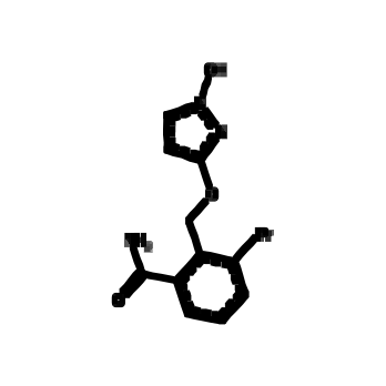 CC(C)c1cccc(C(N)=O)c1COc1ccn(O)n1